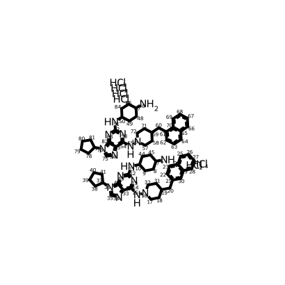 Cl.Cl.Cl.Cl.Cl.Cl.NC1CCC(Nc2nc(NN3CCC(Cc4ccc5ccccc5c4)CC3)c3ncn(C4CCCC4)c3n2)CC1.NC1CCC(Nc2nc(NN3CCC(Cc4cccc5ccccc45)CC3)c3ncn(C4CCCC4)c3n2)CC1